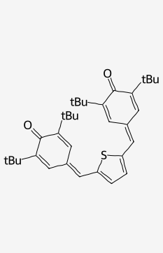 CC(C)(C)C1=CC(=Cc2ccc(C=C3C=C(C(C)(C)C)C(=O)C(C(C)(C)C)=C3)s2)C=C(C(C)(C)C)C1=O